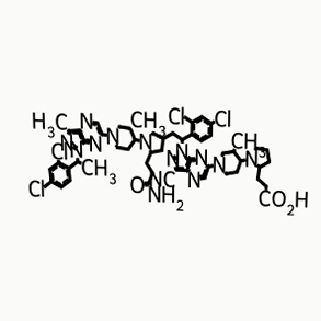 Cc1nn(C(C)c2ccc(Cl)cc2Cl)c2nc(N3CCC(N4CC(CC(c5ccc(Cl)cc5Cl)n5nc(C#N)c6ncc(N7CCC(N8CCCC8CCC(=O)O)C(C)C7)nc65)CC4CCC(N)=O)C(C)C3)cnc12